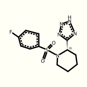 O=S(=O)(c1ccc(F)cc1)N1CCCC[C@H]1c1nn[nH]n1